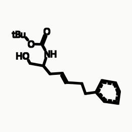 CC(C)(C)OC(=O)NC(CO)CC=CCCc1ccccc1